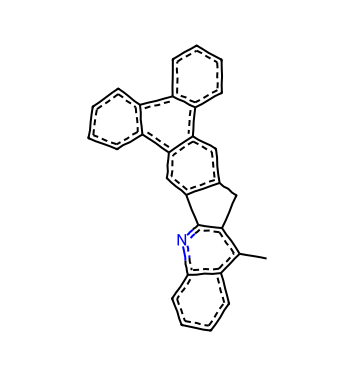 Cc1c2c(nc3ccccc13)-c1cc3c4ccccc4c4ccccc4c3cc1C2